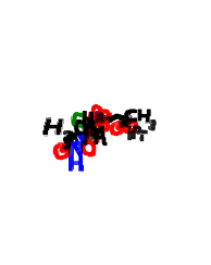 CC(C)OC(=O)[C@@H](C)CCO[P@@]1(=O)OC[C@H]2O[C@@H](n3ccc(=O)[nH]c3=O)[C@](C)(Cl)[C@@H]2O1